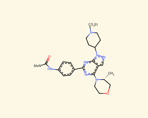 CCOC(=O)N1CCC(n2ncc3c(N4CCOC[C@H]4C)nc(-c4ccc(NC(=O)NC)cc4)nc32)CC1